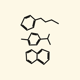 CCCCc1ccccc1.Cc1ccc(C(C)C)cc1.c1ccc2ccccc2c1